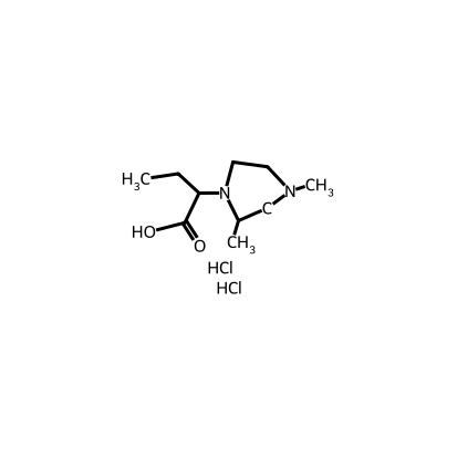 CCC(C(=O)O)N1CCN(C)CC1C.Cl.Cl